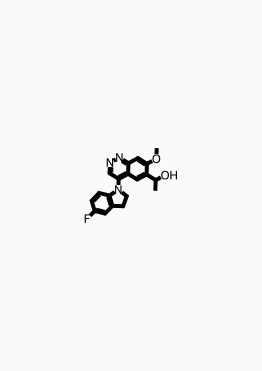 COc1cc2nncc(N3CCc4cc(F)ccc43)c2cc1C(C)O